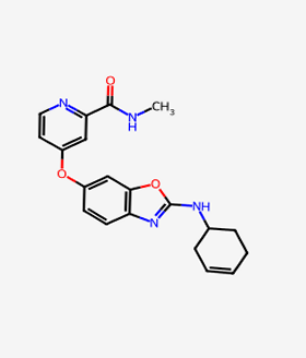 CNC(=O)c1cc(Oc2ccc3nc(NC4CC=CCC4)oc3c2)ccn1